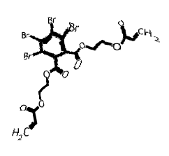 C=CC(=O)OCCOC(=O)c1c(Br)c(Br)c(Br)c(Br)c1C(=O)OCCOC(=O)C=C